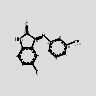 O=C1Nc2ccc(F)cc2C1=Nc1cccc(C(F)(F)F)c1